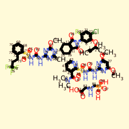 C#CC(C)Oc1cc(N2C(=O)C3=C(CCCC3)C2=O)c(F)cc1Cl.COc1cc(OC)nc(NC(=O)NS(=O)(=O)c2ncccc2C(=O)N(C)C)n1.COc1nc(C)nc(NC(=O)NS(=O)(=O)c2ccccc2CCC(F)(F)F)n1.O=C(O)CNCP(=O)(O)O